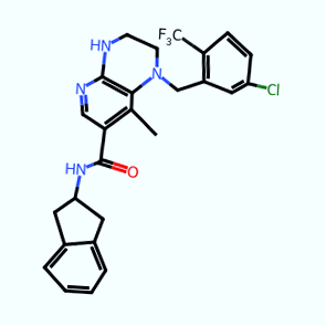 Cc1c(C(=O)NC2Cc3ccccc3C2)cnc2c1N(Cc1cc(Cl)ccc1C(F)(F)F)CCN2